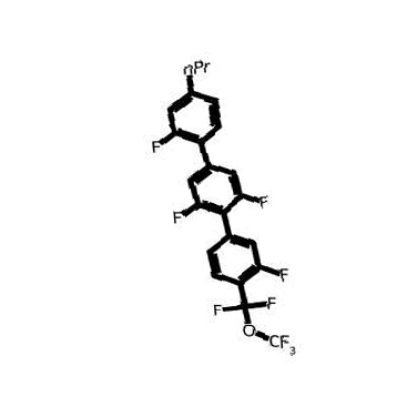 CCCc1ccc(-c2cc(F)c(-c3ccc(C(F)(F)OC(F)(F)F)c(F)c3)c(F)c2)c(F)c1